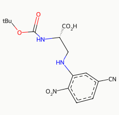 CC(C)(C)OC(=O)N[C@@H](CNc1cc(C#N)ccc1[N+](=O)[O-])C(=O)O